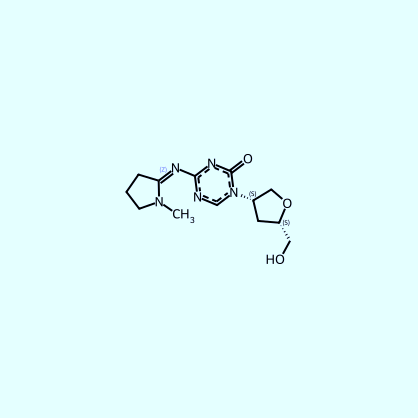 CN1CCC/C1=N/c1ncn([C@@H]2CO[C@H](CO)C2)c(=O)n1